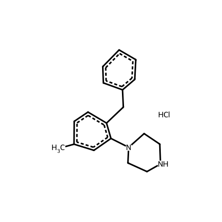 Cc1ccc(Cc2ccccc2)c(N2CCNCC2)c1.Cl